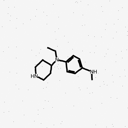 CCN(c1ccc(NC)cc1)C1CCNCC1